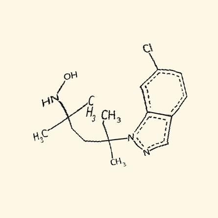 CC(C)(CC(C)(C)n1ncc2ccc(Cl)cc21)NO